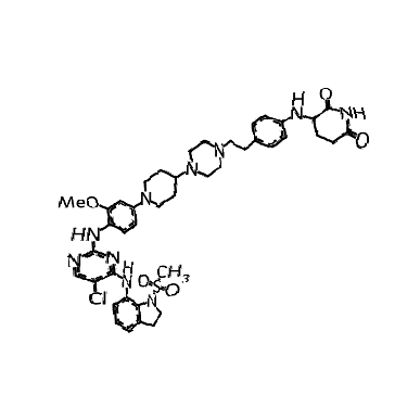 COc1cc(N2CCC(N3CCN(CCc4ccc(NC5CCC(=O)NC5=O)cc4)CC3)CC2)ccc1Nc1ncc(Cl)c(Nc2cccc3c2N(S(C)(=O)=O)CC3)n1